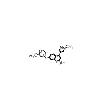 CC(=O)c1cc(-c2cnn(C)c2)c2ccc(CN3CCO[C@H](C)C3)cc2n1